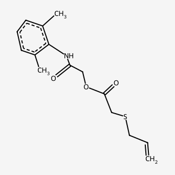 C=CCSCC(=O)OCC(=O)Nc1c(C)cccc1C